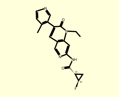 CCn1c(=O)c(-c2cnccc2C)cc2cnc(NC(=O)[C@@H]3C[C@H]3F)cc21